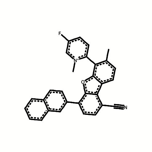 Cc1ccc2c(oc3c(-c4ccc5ccccc5c4)ccc(C#N)c32)c1-c1ccc(F)c[n+]1C